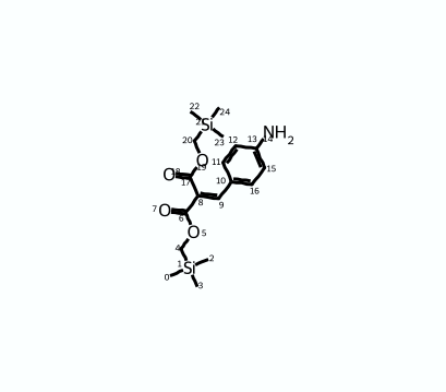 C[Si](C)(C)COC(=O)C(=Cc1ccc(N)cc1)C(=O)OC[Si](C)(C)C